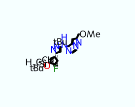 COCc1cc2c(Nc3cc([C@@H]4C[C@H](F)[C@H](O[Si](C)(C)C(C)(C)C)C4)nn3C(C)(C)C)nccn2n1